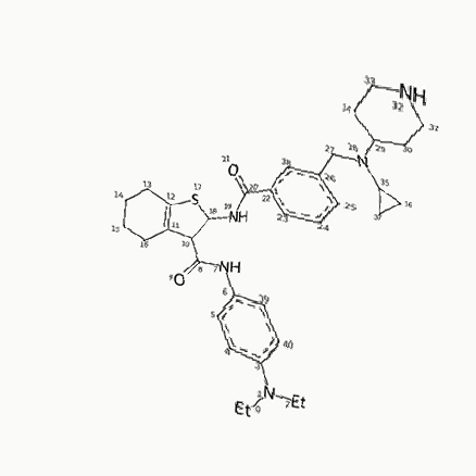 CCN(CC)c1ccc(NC(=O)C2C3=C(CCCC3)SC2NC(=O)c2cccc(CN(C3CCNCC3)C3CC3)c2)cc1